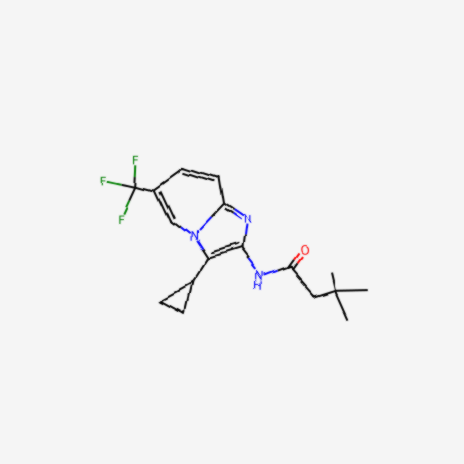 CC(C)(C)CC(=O)Nc1nc2ccc(C(F)(F)F)cn2c1C1CC1